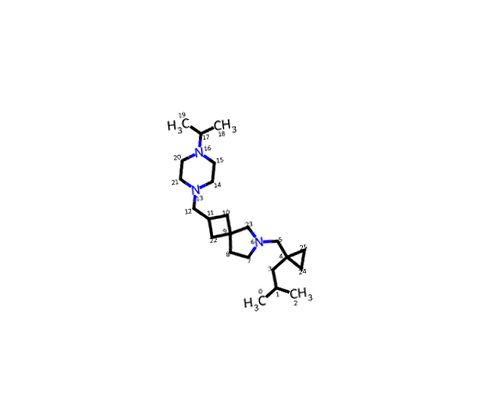 CC(C)CC1(CN2CCC3(CC(CN4CCN(C(C)C)CC4)C3)C2)CC1